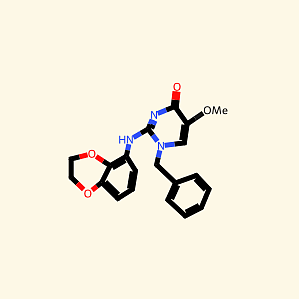 COc1cn(Cc2ccccc2)c(Nc2cccc3c2OCCO3)nc1=O